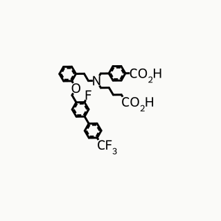 O=C(O)CCCCN(CCc1ccccc1OCc1ccc(-c2ccc(C(F)(F)F)cc2)cc1F)Cc1ccc(C(=O)O)cc1